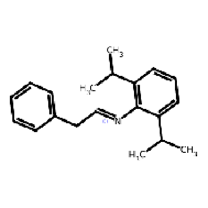 CC(C)c1cccc(C(C)C)c1/N=C/Cc1ccccc1